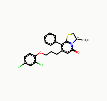 O=C(O)[C@@H]1CSc2c(-c3ccccc3)c(CCCOc3ccc(Cl)cc3Cl)cc(=O)n21